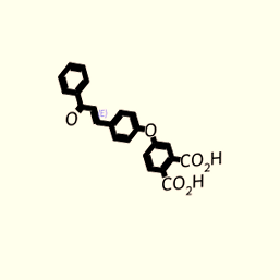 O=C(/C=C/c1ccc(Oc2ccc(C(=O)O)c(C(=O)O)c2)cc1)c1ccccc1